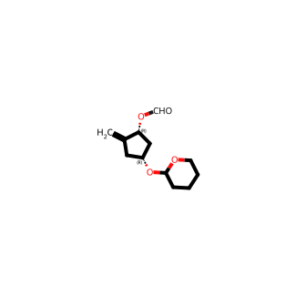 C=C1C[C@@H](OC2CCCCO2)C[C@H]1OC=O